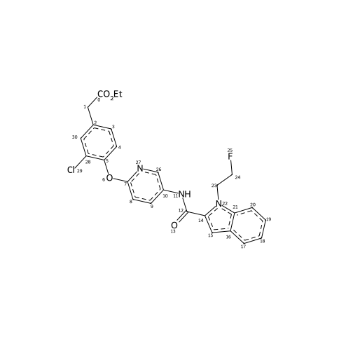 CCOC(=O)Cc1ccc(Oc2ccc(NC(=O)c3cc4ccccc4n3CCF)cn2)c(Cl)c1